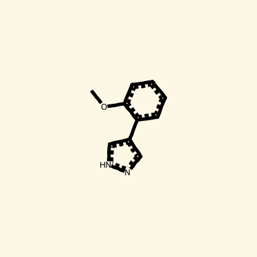 COc1c[c]ccc1-c1cn[nH]c1